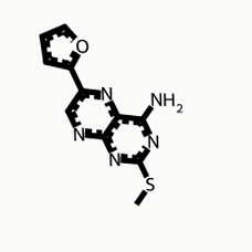 CSc1nc(N)c2nc(-c3ccco3)cnc2n1